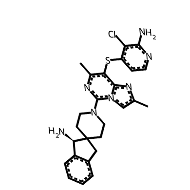 Cc1cn2c(N3CCC4(CC3)Cc3ccccc3[C@H]4N)nc(C)c(Sc3ccnc(N)c3Cl)c2n1